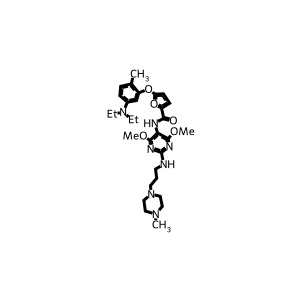 CCN(CC)c1ccc(C)c(Oc2ccc(C(=O)Nc3c(OC)nc(NCCCN4CCN(C)CC4)nc3OC)o2)c1